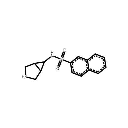 O=S(=O)(NC1C2CNCC21)c1ccc2ccccc2c1